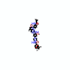 COc1cc(N2CCN(NC(=O)[C@@]34CC5CC6(C3)[C@](C)(C5)C[C@@]6(C)C4)CC2)ccc1Nc1ncc2c(C)cc(=O)n(-c3cccc(NC(=O)C4CC4)c3)c2n1